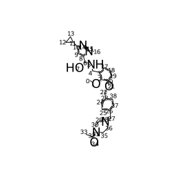 COc1c(CNC(O)c2cc(C3CC3)nn2C)cccc1OCc1ccc(CN2CCN(C(C)=O)CC2)cc1